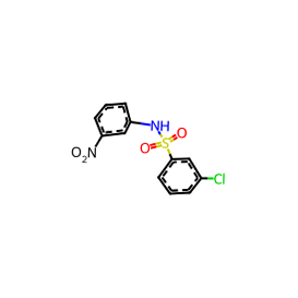 O=[N+]([O-])c1cccc(NS(=O)(=O)c2cccc(Cl)c2)c1